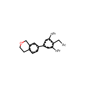 CCCc1cc(-c2ccc3c(c2)COCC3)cc(CCC)c1CC(C)=O